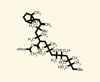 C=C(CC1CC2CCC1(C)C2(C)C)C(C)(CC(C)(C)C(CC(C)(C)C(C)(CC(C)(C)C(C)(CC(C)(C)C(C)(CC(C)(C)C)C(=O)O)C(=O)O)C(=O)O)C(=O)OC(C)CCCCCC)C(C)(C)C